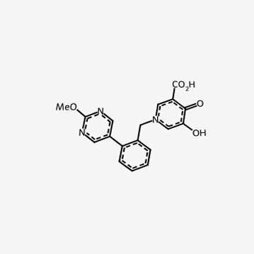 COc1ncc(-c2ccccc2Cn2cc(O)c(=O)c(C(=O)O)c2)cn1